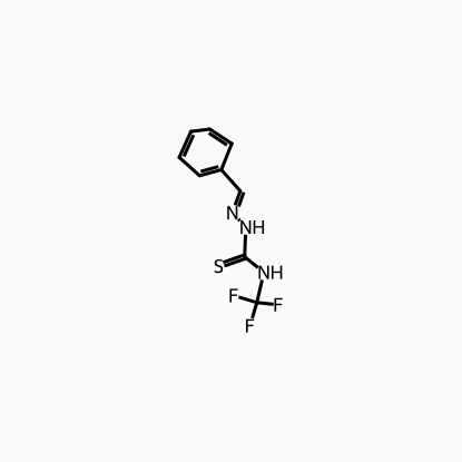 FC(F)(F)NC(=S)NN=Cc1ccccc1